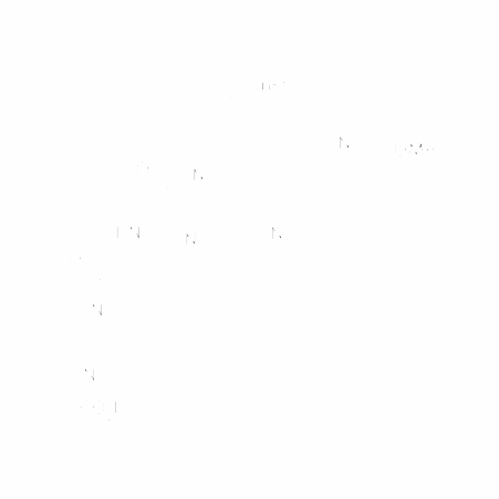 CCCOCCn1c(=O)c(NCC(=O)N2CCN(C(=O)O)CC2)nc2cnc(-c3ccc(OC)nc3)cc21